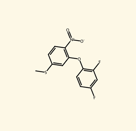 CSc1ccc([N+](=O)[O-])c(Oc2ccc(F)cc2F)c1